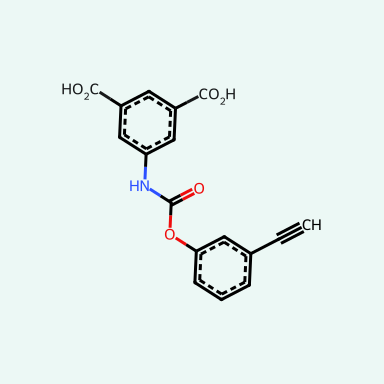 C#Cc1cccc(OC(=O)Nc2cc(C(=O)O)cc(C(=O)O)c2)c1